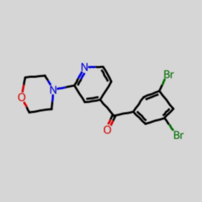 O=C(c1cc(Br)cc(Br)c1)c1ccnc(N2CCOCC2)c1